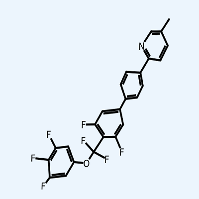 Cc1ccc(-c2ccc(-c3cc(F)c(C(F)(F)Oc4cc(F)c(F)c(F)c4)c(F)c3)cc2)nc1